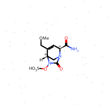 COCC1=C[C@@H](C(N)=O)N2C[C@@H]1N(OS(=O)(=O)O)C2=O